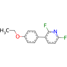 CCOc1ccc(-c2ccc(F)nc2F)cc1